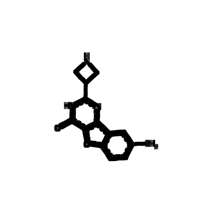 Bc1ccc2oc3c(=O)[nH]c(C4CNC4)nc3c2c1